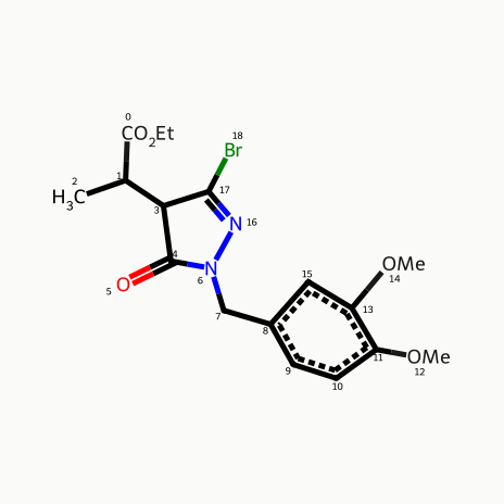 CCOC(=O)C(C)C1C(=O)N(Cc2ccc(OC)c(OC)c2)N=C1Br